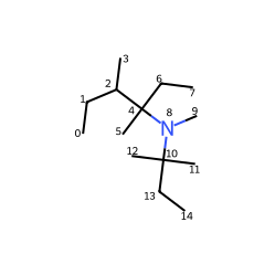 CCC(C)C(C)(CC)N(C)C(C)(C)CC